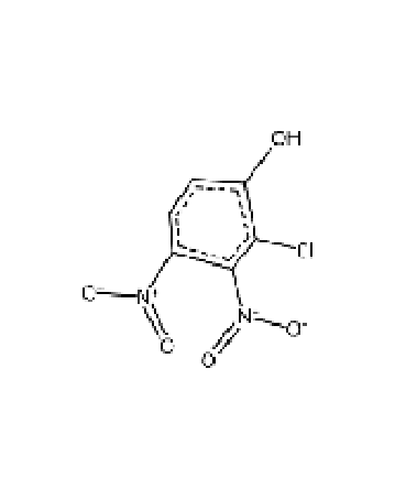 O=[N+]([O-])c1ccc(O)c(Cl)c1[N+](=O)[O-]